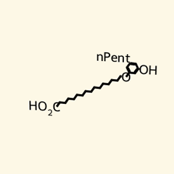 CCCCCc1cc(O)cc(OCCCCCCCCCCCCCCCC(=O)O)c1